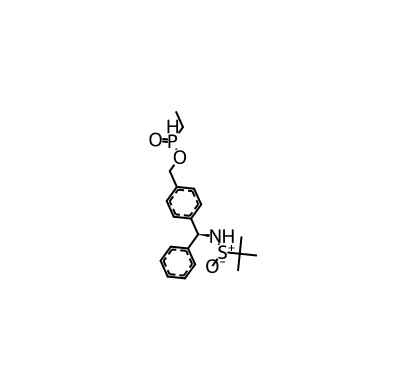 CC[PH](=O)OCc1ccc([C@@H](N[S+]([O-])C(C)(C)C)c2ccccc2)cc1